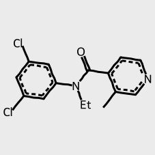 CCN(C(=O)c1ccncc1C)c1cc(Cl)cc(Cl)c1